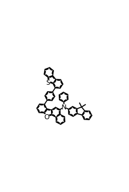 CC1(C)c2ccccc2-c2ccc(N(c3ccccc3)c3cc4c(oc5cccc(-c6ccc(-c7cccc8c7sc7ccccc78)cc6)c54)c4ccccc34)cc21